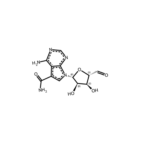 NC(=O)c1cn([C@@H]2O[C@H](C=O)[C@@H](O)[C@H]2O)c2ncnc(N)c12